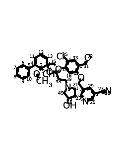 CO[C@]1(C)C(c2ccccc2)=CC=CC1(COc1cc(OCc2cncc(C#N)c2)c(C=O)cc1Cl)OCCCN1CCC(O)C1